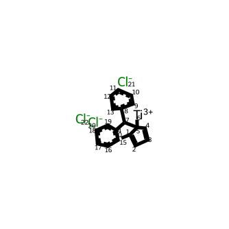 CC1=CC=C[C]1([Ti+3])C(c1ccccc1)c1ccccc1.[Cl-].[Cl-].[Cl-]